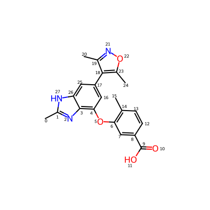 Cc1nc2c(Oc3cc(C(=O)O)ccc3C)cc(-c3c(C)noc3C)cc2[nH]1